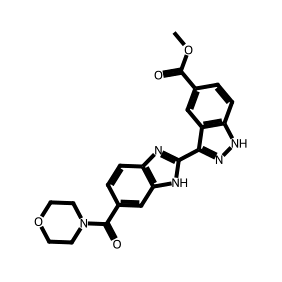 COC(=O)c1ccc2[nH]nc(-c3nc4ccc(C(=O)N5CCOCC5)cc4[nH]3)c2c1